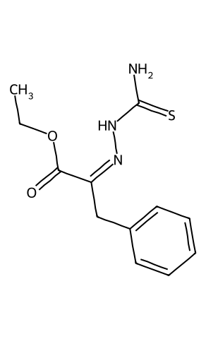 CCOC(=O)C(Cc1ccccc1)=NNC(N)=S